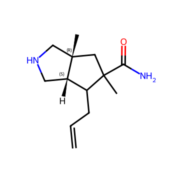 C=CCC1[C@@H]2CNC[C@]2(C)CC1(C)C(N)=O